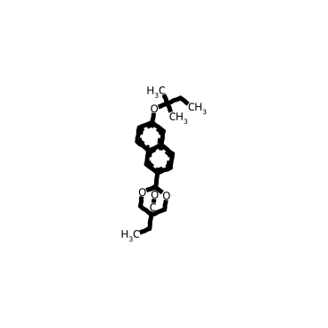 CCC12COC(c3ccc4cc(OC(C)(C)CC)ccc4c3)(OC1)OC2